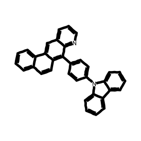 c1cnc2c(-c3ccc(-n4c5ccccc5c5ccccc54)cc3)c3ccc4ccccc4c3cc2c1